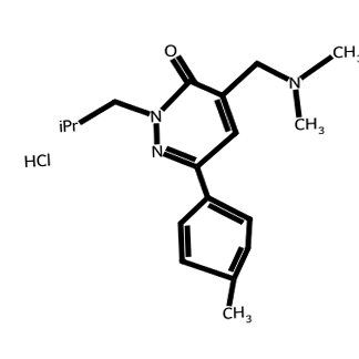 Cc1ccc(-c2cc(CN(C)C)c(=O)n(CC(C)C)n2)cc1.Cl